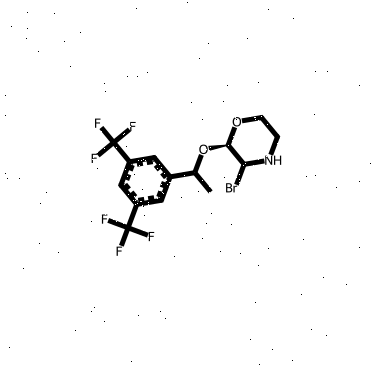 CC(O[C@H]1OCCNC1Br)c1cc(C(F)(F)F)cc(C(F)(F)F)c1